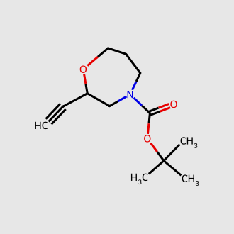 C#CC1CN(C(=O)OC(C)(C)C)CCCO1